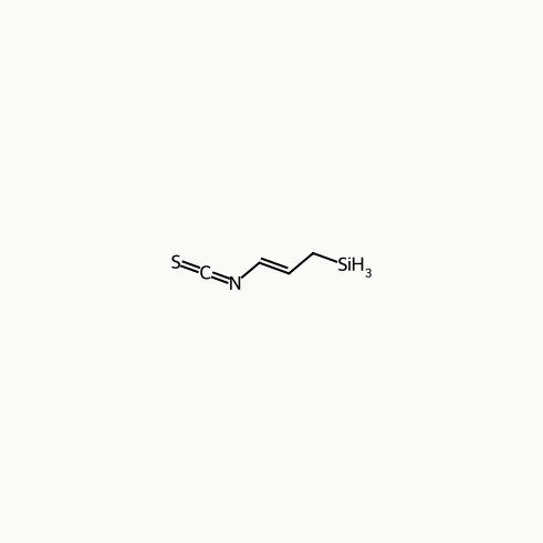 [SiH3]CC=CN=C=S